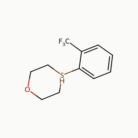 FC(F)(F)c1ccccc1[SH]1CCOCC1